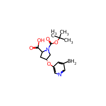 Bc1cncc(O[C@@H]2CC(C(=O)O)N(C(=O)OC(C)(C)C)C2)c1